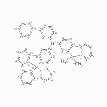 CC1(C)c2ccccc2-c2ccc(N(c3cccc(-c4ccccc4)c3)c3ccc4c(c3)-c3ccccc3C4(c3ccccc3)c3ccccc3)cc21